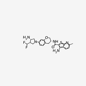 Cc1ccc2c(N)c(C(=O)N[C@H]3COc4cc(N5CC(C(F)F)[C@H](N)C5)ccc4C3)sc2n1